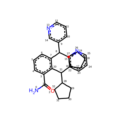 NC(=O)c1cccc(C(c2cccnc2)C2CCCC2)c1C(c1cccnc1)C1CCCC1